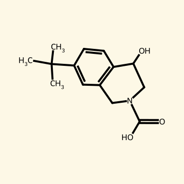 CC(C)(C)c1ccc2c(c1)CN(C(=O)O)CC2O